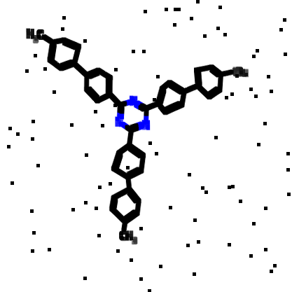 Cc1ccc(-c2ccc(-c3nc(-c4ccc(-c5ccc(C)cc5)cc4)nc(-c4ccc(-c5ccc(C(C)(C)C)cc5)cc4)n3)cc2)cc1